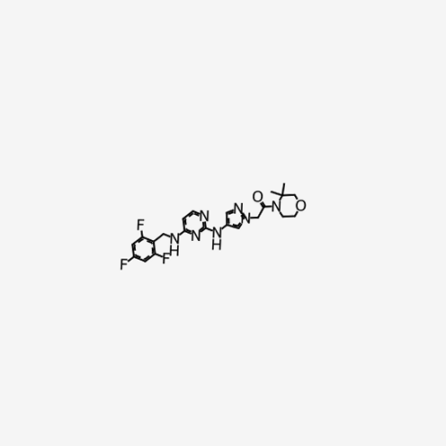 CC1(C)COCCN1C(=O)Cn1cc(Nc2nccc(NCc3c(F)cc(F)cc3F)n2)cn1